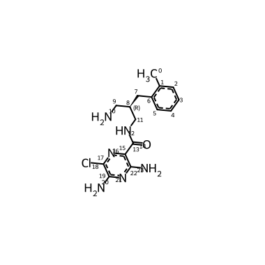 Cc1ccccc1C[C@H](CN)CNC(=O)c1nc(Cl)c(N)nc1N